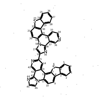 c1ccc2c(c1)sc1c2ccc2c1c1cc(-c3cn4c5ccc6sc7ccccc7c6c5c5ccncc5c4n3)ncc1c1nccn21